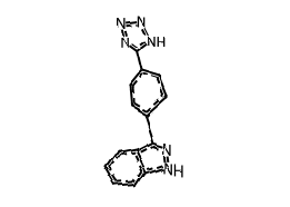 c1ccc2c(-c3ccc(-c4nnn[nH]4)cc3)n[nH]c2c1